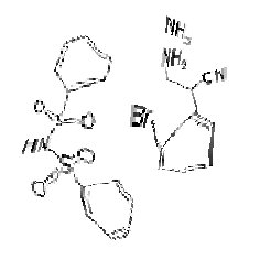 N.N#CC(CN)c1ccccc1Br.O=S(=O)(NS(=O)(=O)c1ccccc1)c1ccccc1